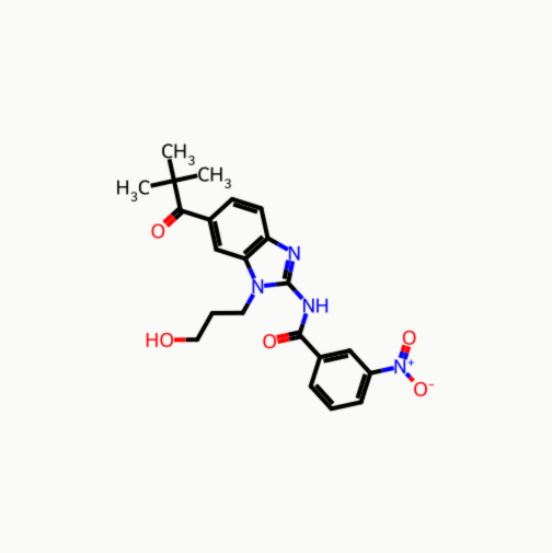 CC(C)(C)C(=O)c1ccc2nc(NC(=O)c3cccc([N+](=O)[O-])c3)n(CCCO)c2c1